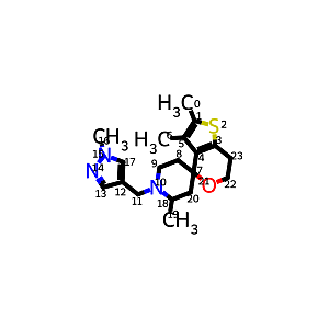 Cc1sc2c(c1C)C1(CCN(Cc3cnn(C)c3)C(C)C1)OCC2